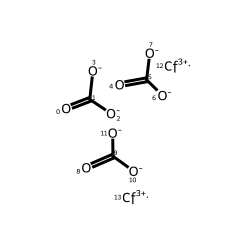 O=C([O-])[O-].O=C([O-])[O-].O=C([O-])[O-].[Cf+3].[Cf+3]